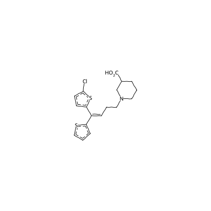 O=C(O)C1CCCN(CCC=C(c2cccs2)c2ccc(Cl)s2)C1